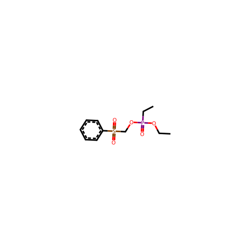 CCOP(=O)(CC)OCS(=O)(=O)c1ccccc1